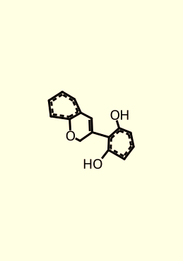 Oc1cccc(O)c1C1=Cc2ccccc2OC1